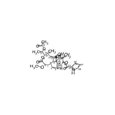 CO[C@H]1CC2C=C[C@H]3[C@H]4O[C@]2(/C(C)=C/[C@@H](C)C(C(C)OC(C)=O)OC1=O)[C@@H]3[C@H](O)[C@@H](C)[C@H]4OC(=O)c1ccc[nH]1